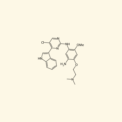 COc1cc(OCCN(C)C)c(N)cc1Nc1ncc(Cl)c(-c2c[nH]c3ccccc23)n1